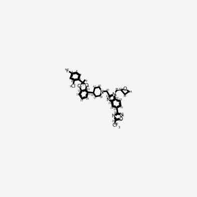 CC1(c2ccc(F)cc2Cl)Oc2cccc(C3CCN(Cc4nc5cc(-c6noc(C(F)(F)F)n6)ccc5n4C[C@@H]4CCO4)CC3)c2O1